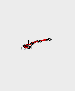 O=C(O)CC(CCCCNC(=O)COc1ccc(OCCOCCOCCOCCCCCCCCCCCS)cc1)N(CC(=O)O)CC(=O)O